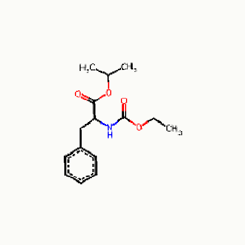 CCOC(=O)NC(Cc1ccccc1)C(=O)OC(C)C